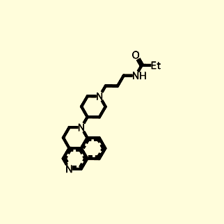 CCC(=O)NCCCN1CCC(N2CCc3cncc4cccc2c34)CC1